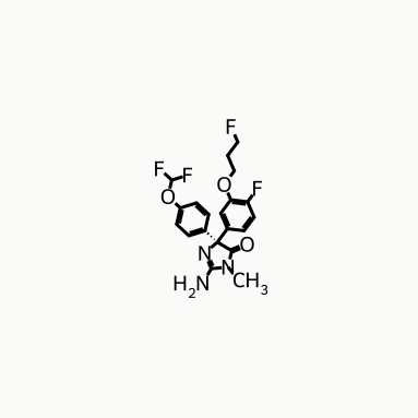 CN1C(=O)[C@](c2ccc(OC(F)F)cc2)(c2ccc(F)c(OCCCF)c2)N=C1N